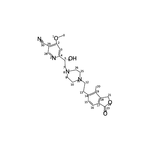 COc1cc([C@H](O)CN2CCN(CCc3ccc4c(c3C)COC4=O)CC2)ncc1C#N